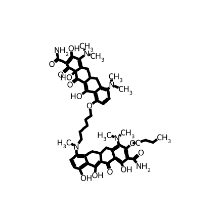 CCCCOc1c(C(N)=O)c(O)c2c(c1N(C)C)CC1Cc3c(N(C)CCCCCOc4ccc(N(C)C)c5c4C(O)=C4C(=O)C6(O)C(=O)C(C(N)=O)=C(O)C(N(C)C)=C6CC4C5)ccc(O)c3C(O)=C1C2=O